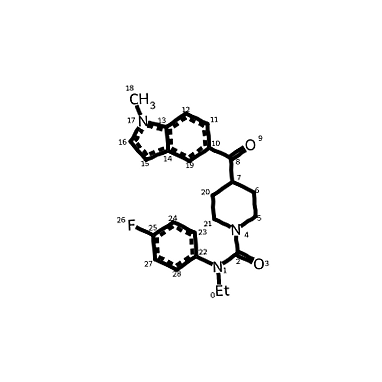 CCN(C(=O)N1CCC(C(=O)c2ccc3c(ccn3C)c2)CC1)c1ccc(F)cc1